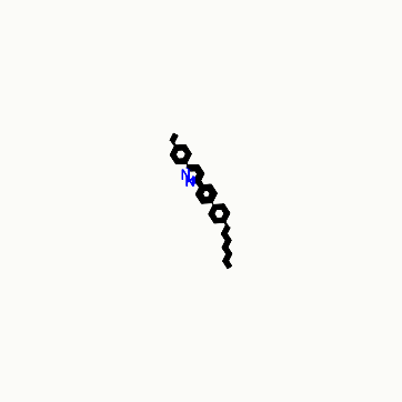 CCCCCCC[C@H]1CC[C@H](c2ccc(-c3ccc([C@H]4CC[C@H](CC)CC4)nn3)cc2)CC1